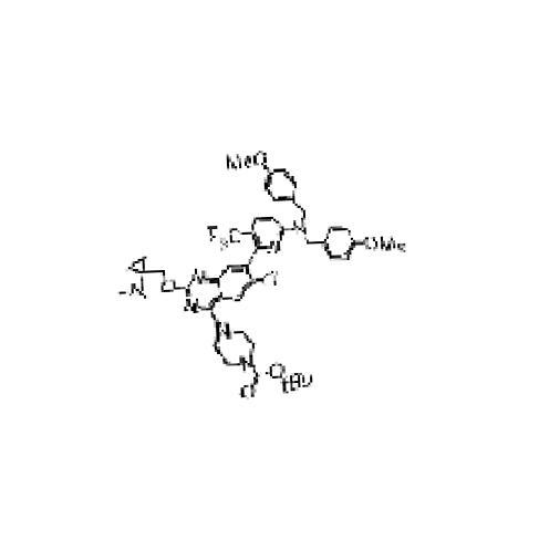 COc1ccc(CN(Cc2ccc(OC)cc2)c2ccc(C(F)(F)F)c(-c3cc4nc(OCC5(N(C)C)CC5)nc(N5CCN(C(=O)OC(C)(C)C)CC5)c4cc3Cl)n2)cc1